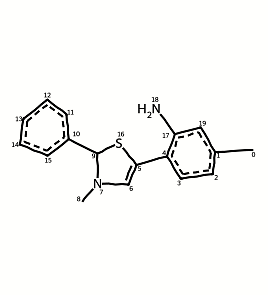 Cc1ccc(C2=CN(C)C(c3ccccc3)S2)c(N)c1